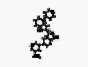 Nc1cncc(-c2ccc3[nH]nc(-c4cc5c(-c6ccncc6)cccc5[nH]4)c3c2)c1